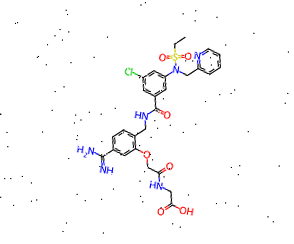 CCS(=O)(=O)N(Cc1ccccn1)c1cc(Cl)cc(C(=O)NCc2ccc(C(=N)N)cc2OCC(=O)NCC(=O)O)c1